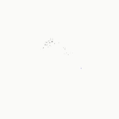 CCCCCCCC/C=C\CCCCCCCC(=O)NCCNC(=O)CC[C@@H](C)C1CC[C@H]2[C@@H]3[C@H](O)[C@H](CC)[C@@H]4C[C@H](O)CC[C@]4(C)[C@H]3CC[C@]12C